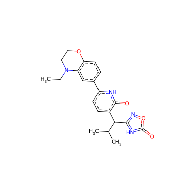 CCN1CCOc2ccc(-c3ccc(C(c4noc(=O)[nH]4)C(C)C)c(=O)[nH]3)cc21